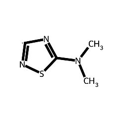 CN(C)c1n[c]ns1